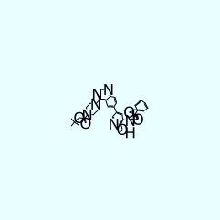 COc1ncc(-c2ccc3ncnc(N4CCN(C(=O)OC(C)(C)C)CC4)c3c2)cc1NS(=O)(=O)c1ccccc1